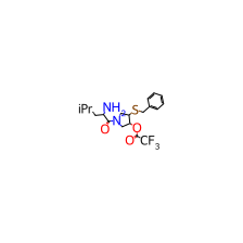 CC(C)C[C@@H](N)C(=O)N1CC(OC(=O)C(F)(F)F)C(SCc2ccccc2)C1